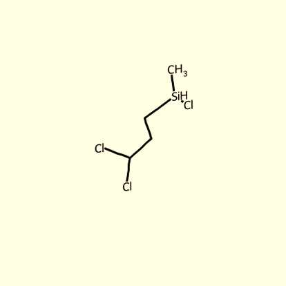 C[SiH](Cl)CCC(Cl)Cl